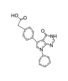 O=C(O)Cc1ccc(-c2cn(-c3ccccc3)c3nc[nH]c(=O)c23)cc1